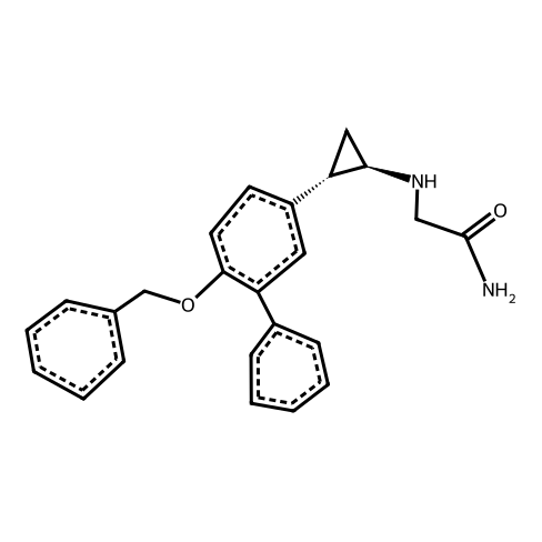 NC(=O)CN[C@@H]1C[C@H]1c1ccc(OCc2ccccc2)c(-c2ccccc2)c1